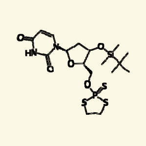 CC(C)(C)[Si](C)(C)OC1C[C@H](n2ccc(=O)[nH]c2=O)O[C@@H]1COP1(=S)SCCS1